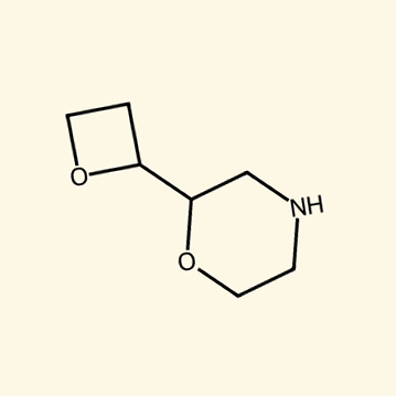 C1COC(C2CCO2)CN1